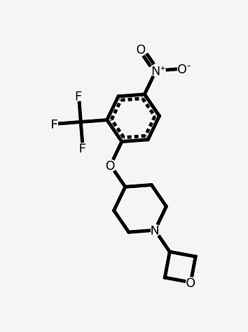 O=[N+]([O-])c1ccc(OC2CCN(C3COC3)CC2)c(C(F)(F)F)c1